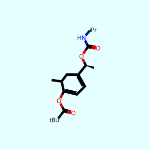 CC(C)NC(=O)O[C@@H](C)C1=CC=C(OC(=O)C(C)(C)C)C(C)C1